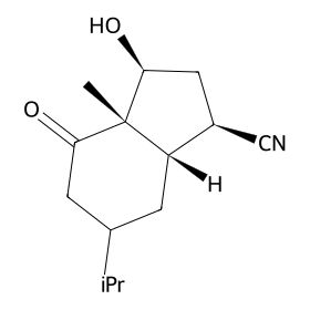 CC(C)C1CC(=O)[C@]2(C)[C@@H](O)C[C@@H](C#N)[C@@H]2C1